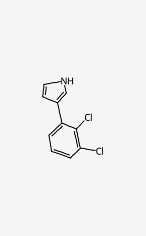 Clc1cccc(-c2cc[nH]c2)c1Cl